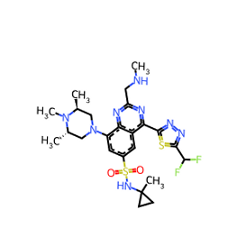 CNCc1nc(-c2nnc(C(F)F)s2)c2cc(S(=O)(=O)NC3(C)CC3)cc(N3C[C@H](C)N(C)[C@@H](C)C3)c2n1